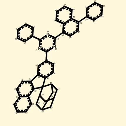 c1ccc(-c2nc(-c3ccc4c(c3)-c3ccc5ccccc5c3C43C4CC5CC(C4)CC3C5)nc(-c3ccc(-c4ccccc4)c4ccccc34)n2)cc1